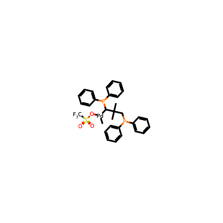 [CH3][Pd]([O]S(=O)(=O)C(F)(F)F)[CH](P(c1ccccc1)c1ccccc1)C(C)(C)CP(c1ccccc1)c1ccccc1